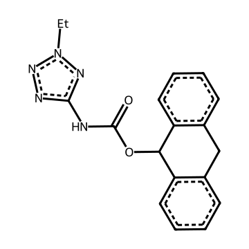 CCn1nnc(NC(=O)OC2c3ccccc3Cc3ccccc32)n1